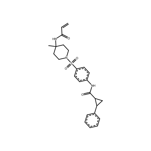 C=CC(=O)NC1(C)CCN(S(=O)(=O)c2ccc(NC(=O)C3CC3c3ccccc3)cc2)CC1